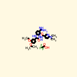 CCOc1cc(C(Nc2ccc(C(=N)N)cc2)C(=O)NNC(=O)c2ccc(N(C)C)nc2)ccc1OC(C)C.O=C(O)C(F)(F)F